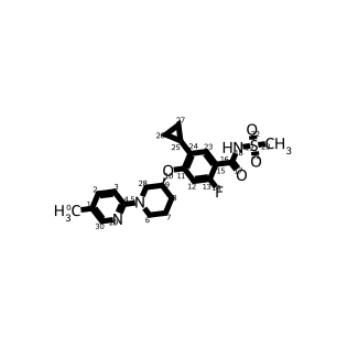 Cc1ccc(N2CCC[C@@H](Oc3cc(F)c(C(=O)NS(C)(=O)=O)cc3C3CC3)C2)nc1